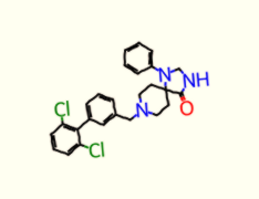 O=C1NCN(c2ccccc2)C12CCN(Cc1cccc(-c3c(Cl)cccc3Cl)c1)CC2